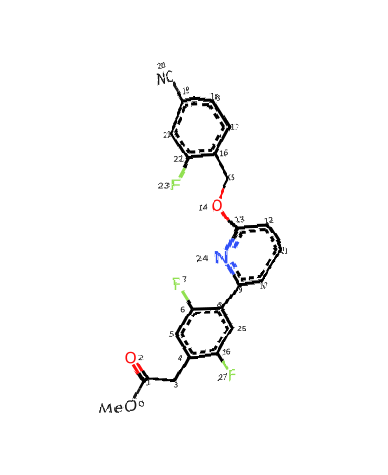 COC(=O)Cc1cc(F)c(-c2cccc(OCc3ccc(C#N)cc3F)n2)cc1F